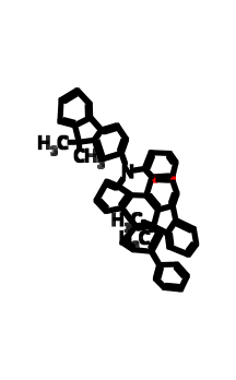 CC1(C)c2ccccc2-c2ccc(N(c3ccccc3)c3cccc(-c4ccc(-c5ccccc5)cc4)c3-c3cccc4c3C(C)(C)c3ccccc3-4)cc21